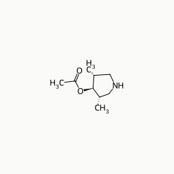 CC(=O)O[C@H]1[C@H](C)CNC[C@@H]1C